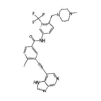 Cc1ccc(C(=O)Nc2ccc(CN3CCN(C)CC3)c(C(F)(F)F)c2)cc1C#Cc1cncc2nc[nH]c12